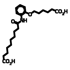 O=C(O)CCCCCCCCC(=O)Nc1ccccc1OCCCCCC(=O)O